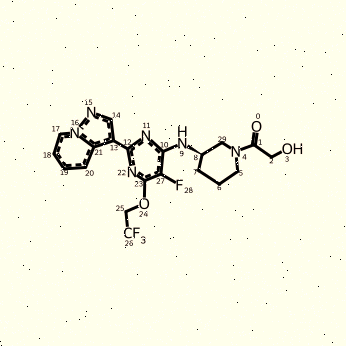 O=C(CO)N1CCC[C@@H](Nc2nc(-c3cnn4ccccc34)nc(OCC(F)(F)F)c2F)C1